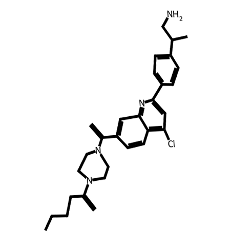 C=C(CCCC)N1CCN(C(=C)c2ccc3c(Cl)cc(-c4ccc(C(C)CN)cc4)nc3c2)CC1